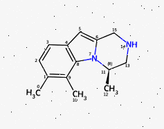 Cc1ccc2cc3n(c2c1C)[C@H](C)CNC3